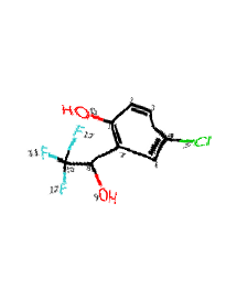 Oc1ccc(Cl)cc1C(O)C(F)(F)F